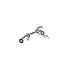 CC(C)C[C@@H]1CN(CCCC[C@H]2CNC(CCCc3ccccc3)=N2)C(=S)N1CC1CCC(C)CC1